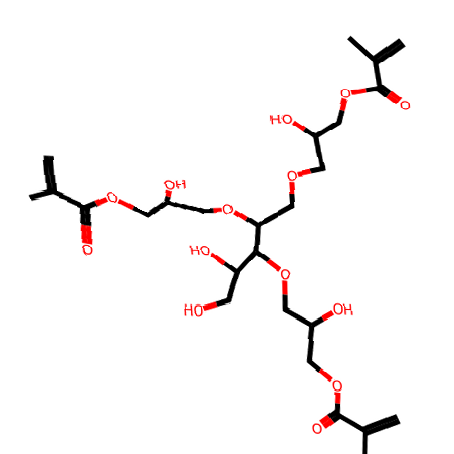 C=C(C)C(=O)OCC(O)COCC(OCC(O)COC(=O)C(=C)C)C(OCC(O)COC(=O)C(=C)C)C(O)CO